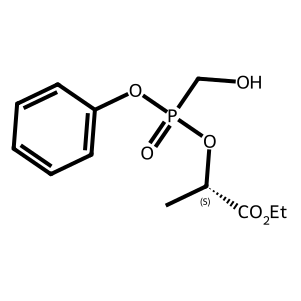 CCOC(=O)[C@H](C)OP(=O)(CO)Oc1ccccc1